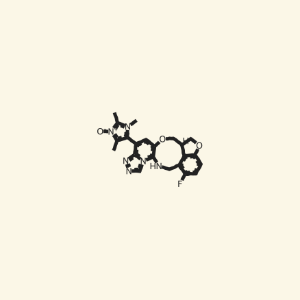 Cc1c(-c2cc3c(n4cnnc24)NCc2c(F)ccc4c2[C@H](CO4)CO3)n(C)c(C)[n+]1[O-]